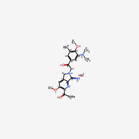 Br.CCOc1cc2c(nc1C(=O)NC)C(=N)N(CC(=O)c1cc(N(C)C)c(OCC)c(C(C)(C)C)c1)C2